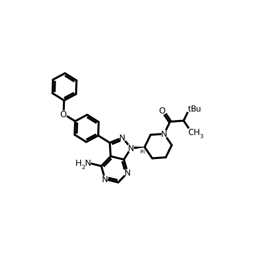 CC(C(=O)N1CCC[C@@H](n2nc(-c3ccc(Oc4ccccc4)cc3)c3c(N)ncnc32)C1)C(C)(C)C